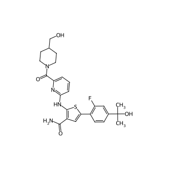 CC(C)(O)c1ccc(-c2cc(C(N)=O)c(Nc3cccc(C(=O)N4CCC(CO)CC4)n3)s2)c(F)c1